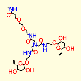 C=C[C@@H]1O[C@@H](OCCNC(=O)CN(CC(=O)NCCOCCOCCC(=O)NC)CC(=O)NCCO[C@@H]2O[C@@H](C=C)[C@@H](O)C[C@@H]2O)[C@@H](O)C[C@@H]1O